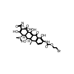 C[C@@H]1c2ccc(NC(=O)OCCBr)c(O)c2C(=O)C2=C(O)[C@@]3(O)C(=O)C(C(N)=O)=C(O)[C@H](N(C)C)[C@H]3[C@H](O)[C@H]21